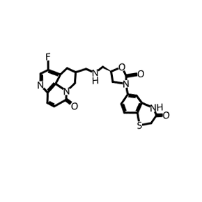 O=C1CSc2ccc(N3C[C@@H](CNCC4Cc5c(F)cnc6ccc(=O)n(c56)C4)OC3=O)cc2N1